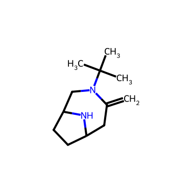 C=C1CC2CCC(CN1C(C)(C)C)N2